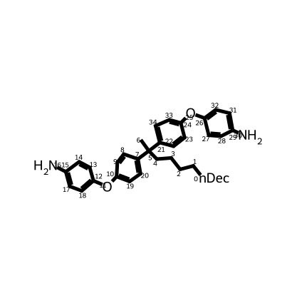 CCCCCCCCCCCCCCC(C)(c1ccc(Oc2ccc(N)cc2)cc1)c1ccc(Oc2ccc(N)cc2)cc1